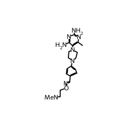 CNCCON=Cc1ccc(N2CCN(c3c(C)nc(N)nc3N)CC2)cc1